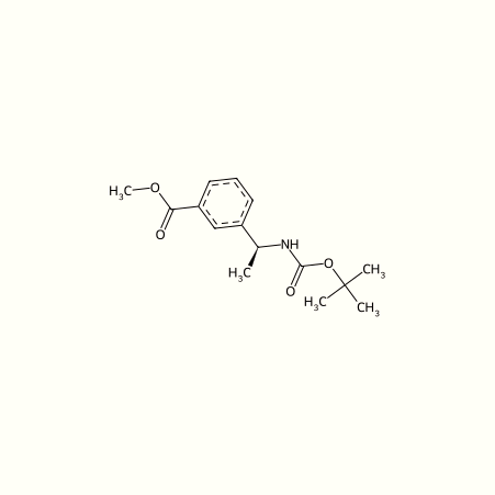 COC(=O)c1cccc([C@H](C)NC(=O)OC(C)(C)C)c1